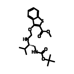 COC(=O)c1sc2ccccc2c1OCN[C@H](CNC(=O)OC(C)(C)C)C(C)C